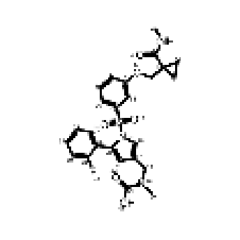 CNC(=O)C1(COc2cccc(S(=O)(=O)n3cc(CN(C)C(=O)O)cc3-c3ccccc3F)c2)CC1